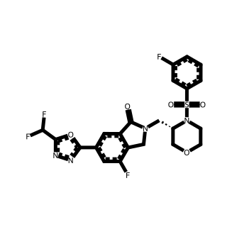 O=C1c2cc(-c3nnc(C(F)F)o3)cc(F)c2CN1C[C@H]1COCCN1S(=O)(=O)c1cccc(F)c1